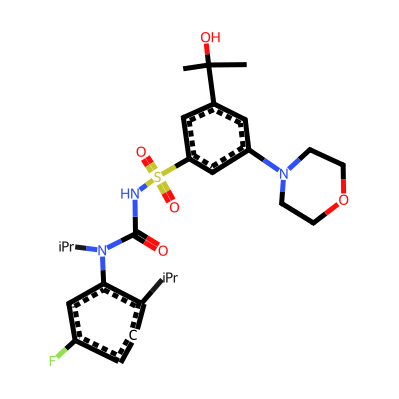 CC(C)c1ccc(F)cc1N(C(=O)NS(=O)(=O)c1cc(N2CCOCC2)cc(C(C)(C)O)c1)C(C)C